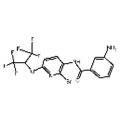 Nc1cccc(C(=O)Nc2ccc(OC(C(F)(F)F)C(F)(F)F)nc2Br)c1